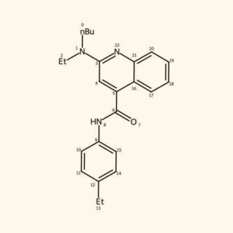 CCCCN(CC)c1cc(C(=O)Nc2ccc(CC)cc2)c2ccccc2n1